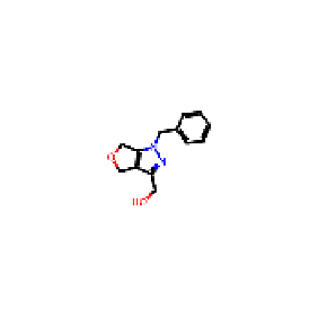 OCc1nn(Cc2ccccc2)c2c1COC2